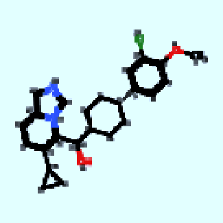 COc1ccc([C@H]2CC[C@H]([C@@H](O)c3c(C4CC4)ccc4cncn34)CC2)cc1Cl